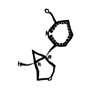 Clc1cccc([C@]23COC[C@H]2C3)n1